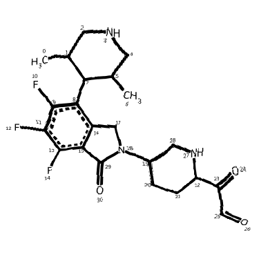 CC1CNCC(C)C1c1c(F)c(F)c(F)c2c1CN(C1CCC(C(=O)C=O)NC1)C2=O